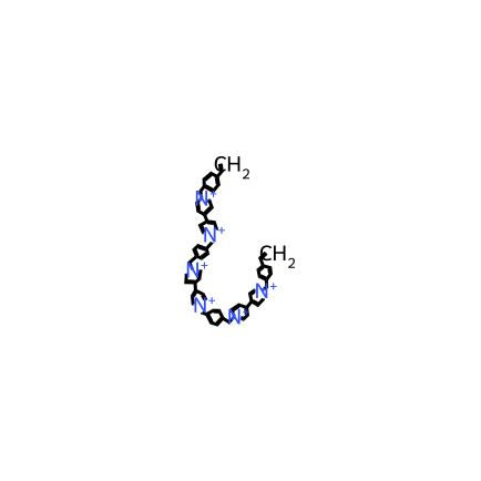 C=Cc1ccc(C[n+]2ccc(-c3cc[n+](Cc4ccc(C[n+]5ccc(-c6cc[n+](Cc7ccc(C[n+]8ccc(-c9cc[n+](Cc%10ccc(C=C)cc%10)cc9)cc8)cc7)cc6)cc5)cc4)cc3)cc2)cc1